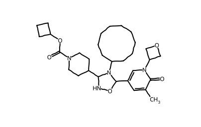 Cc1cc(C2ONC(C3CCN(C(=O)OC4CCC4)CC3)N2C2CCCCCCCCC2)cn(C2COC2)c1=O